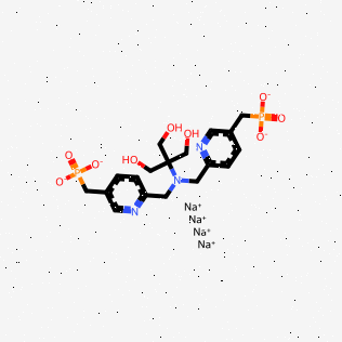 O=P([O-])([O-])Cc1ccc(CN(Cc2ccc(CP(=O)([O-])[O-])cn2)C(CO)(CO)CO)nc1.[Na+].[Na+].[Na+].[Na+]